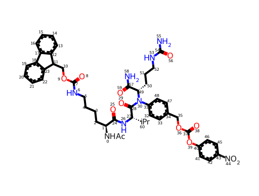 CC(=O)N[C@@H](CCCCNC(=O)OCC1c2ccccc2-c2ccccc21)C(=O)N[C@H](C(=O)N(c1ccc(COC(=O)Oc2ccc([N+](=O)[O-])cc2)cc1)[C@@H](CCCNC(N)=O)C(N)=O)C(C)C